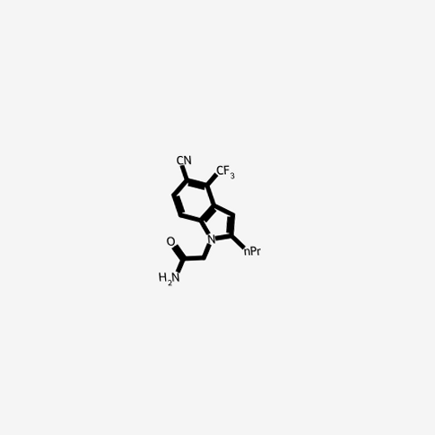 CCCc1cc2c(C(F)(F)F)c(C#N)ccc2n1CC(N)=O